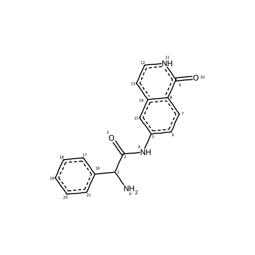 NC(C(=O)Nc1ccc2c(=O)[nH]ccc2c1)c1ccccc1